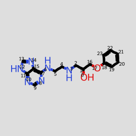 OC(CNCCNc1ncnc2[nH]cnc12)COc1ccccc1